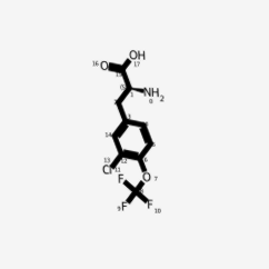 N[C@@H](Cc1ccc(OC(F)(F)F)c(Cl)c1)C(=O)O